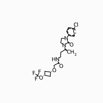 C=C(CCNC(=O)CO[C@H]1C[C@@H](OC(F)(F)F)C1)N1CCN(c2ccc(Cl)cc2)C1=O